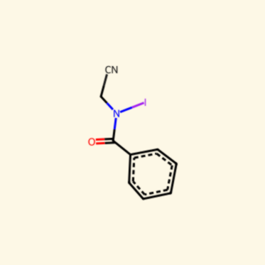 N#CCN(I)C(=O)c1ccccc1